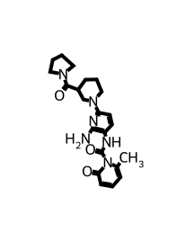 Cc1cccc(=O)n1C(=O)Nc1ccc(N2CCCC(C(=O)N3CCCC3)C2)nc1N